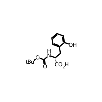 CC(C)(C)OC(=O)N[C@H](Cc1ccccc1O)C(=O)O